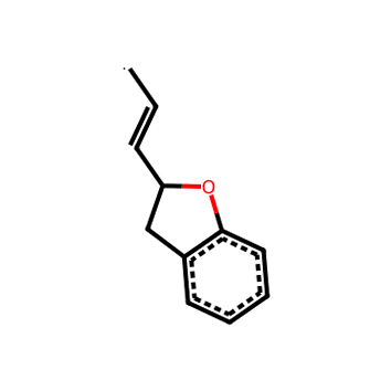 [CH2]C=CC1Cc2ccccc2O1